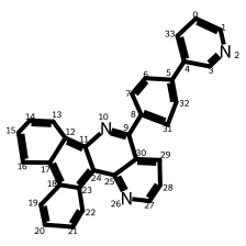 c1cncc(-c2ccc(-c3nc4c5ccccc5c5ccccc5c4c4ncccc34)cc2)c1